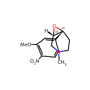 COc1cc([C@@]23CCN(C)C[C@@H]2O3)ccc1[N+](=O)[O-]